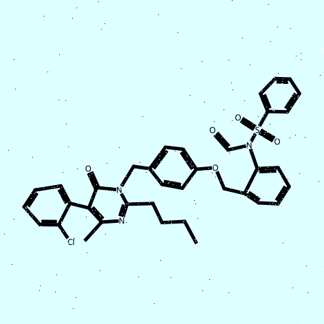 CCCCc1nc(C)c(-c2ccccc2Cl)c(=O)n1Cc1ccc(OCc2ccccc2N(C=O)S(=O)(=O)c2ccccc2)cc1